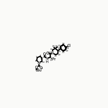 CC(C)[C@@H](NC(=O)[C@H]1CCCN(C(=O)OC(C)(C)C)C1)C(=O)N1CCC(c2ccc(Cl)cc2)C(C)(C)C1